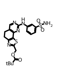 CC(C)(C)C(=O)OCc1nc2c(s1)-c1nc(Nc3cccc(S(N)(=O)=O)c3)ncc1CC2